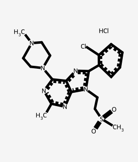 Cc1nc(N2CCN(C)CC2)c2nc(-c3ccccc3Cl)n(CCS(C)(=O)=O)c2n1.Cl